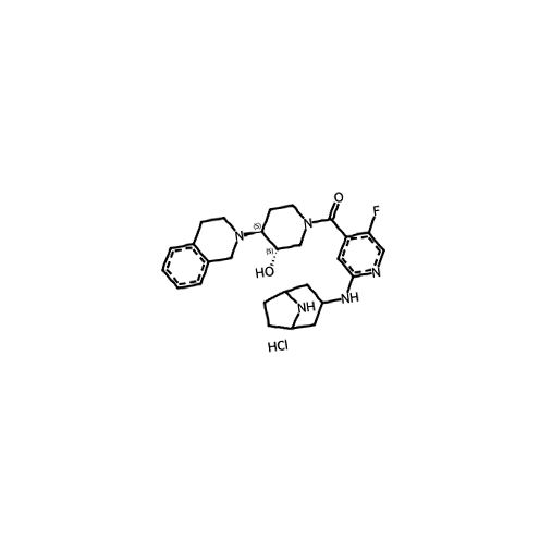 Cl.O=C(c1cc(NC2CC3CCC(C2)N3)ncc1F)N1CC[C@H](N2CCc3ccccc3C2)[C@@H](O)C1